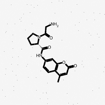 Cc1cc(=O)oc2cc(NC(=O)[C@@H]3CCCN3C(=O)CN)ccc12